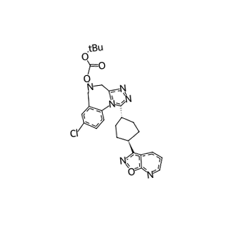 CC(C)(C)OC(=O)ON1Cc2cc(Cl)ccc2-n2c(nnc2[C@H]2CC[C@H](c3noc4ncccc43)CC2)C1